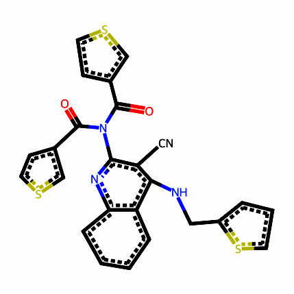 N#Cc1c(N(C(=O)c2ccsc2)C(=O)c2ccsc2)nc2ccccc2c1NCc1cccs1